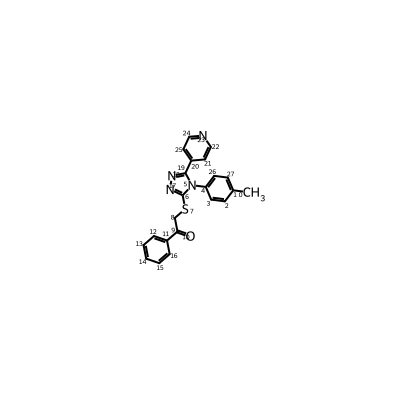 Cc1ccc(-n2c(SCC(=O)c3ccccc3)nnc2-c2ccncc2)cc1